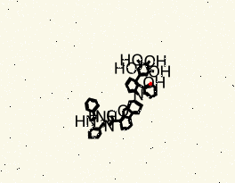 C/C(=N\C(NC(=N)c1ccccc1)c1ccccc1)c1cccc2c1oc1cc(-n3c4ccccc4c4c(-c5c(O)c(O)c(O)c(O)c5O)cccc43)ccc12